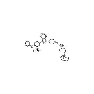 Cc1ncnc2c1c(-c1ccc(Oc3ccccc3)c([N+](=O)[O-])c1)nn2C1CCN(CCNC(=O)[C@H](C)CCC23CC4CC(CC(C4)C2)C3)CC1